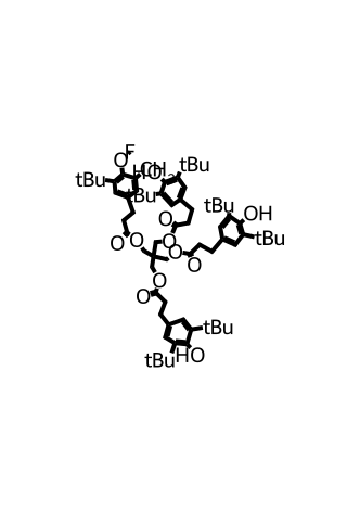 Cc1cc(CCC(=O)OCC(COC(=O)CCc2cc(C(C)(C)C)c(O)c(C(C)(C)C)c2)(COC(=O)CCc2cc(C(C)(C)C)c(O)c(C(C)(C)C)c2)COC(=O)CCc2cc(C(C)(C)C)c(O)c(C(C)(C)C)c2)cc(C(C)(C)C)c1OF